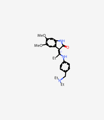 CC/C(Nc1ccc(CN(CC)CC)cc1)=C1/C(=O)Nc2cc(OC)c(OC)cc21